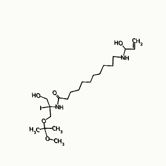 C=CC(O)NCCCCCCCCCCC(=O)NC(I)(CO)COC(C)(C)OC